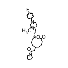 C[C@H]1CN(c2ccc(F)cc2)CCN1CC[C@H]1CCCC(CC(=O)N2CCCC2)CCCC(=O)O1